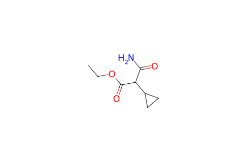 CCOC(=O)C(C(N)=O)C1CC1